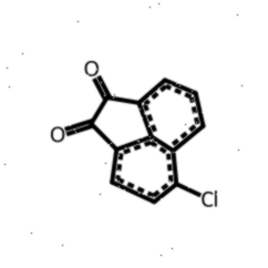 O=C1C(=O)c2ccc(Cl)c3cccc1c23